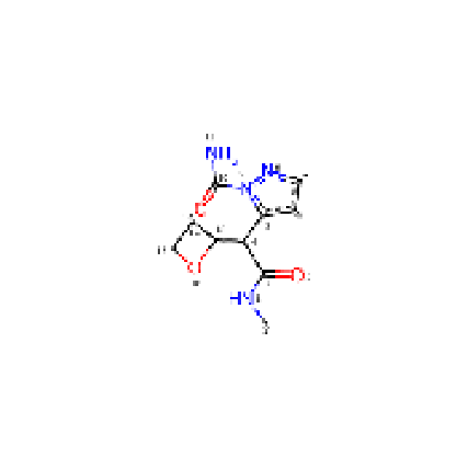 CNC(=O)C(c1[c]cnn1C(N)=O)C1CCO1